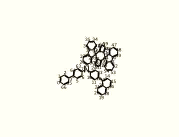 c1ccc(-c2ccc(N(c3ccc(-c4cccc5ccccc45)cc3)c3ccc4c(c3)C3(c5ccccc5-4)c4ccccc4C4(c5ccccc5-c5ccccc54)c4ccccc43)cc2)cc1